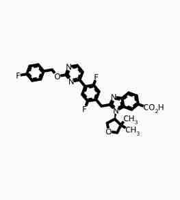 CC1(C)COC[C@H]1n1c(Cc2cc(F)c(-c3ccnc(OCc4ccc(F)cc4)n3)cc2F)nc2ccc(C(=O)O)cc21